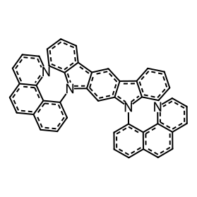 c1cnc2c(c1)ccc1cccc(-n3c4ccccc4c4cc5c6ccccc6n(-c6cccc7ccc8cccnc8c67)c5cc43)c12